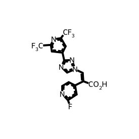 O=C(O)/C(=C/n1cnc(-c2cc(C(F)(F)F)nc(C(F)(F)F)c2)n1)c1ccnc(F)c1